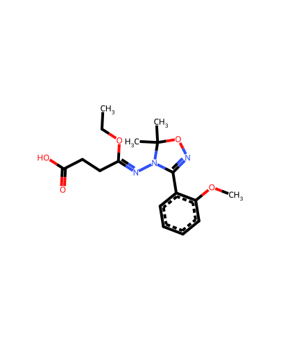 CCOC(CCC(=O)O)=NN1C(c2ccccc2OC)=NOC1(C)C